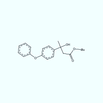 CCC(C)OC(=O)CC(C)(O)c1ccc(Oc2ccccc2)cc1